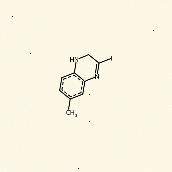 Cc1ccc2c(c1)N=C(I)CN2